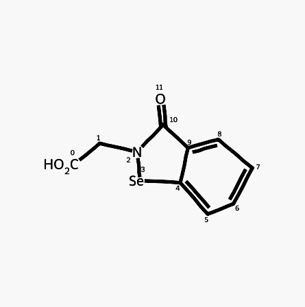 O=C(O)Cn1[se]c2ccccc2c1=O